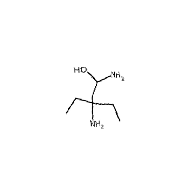 CCC(N)(CC)C(N)O